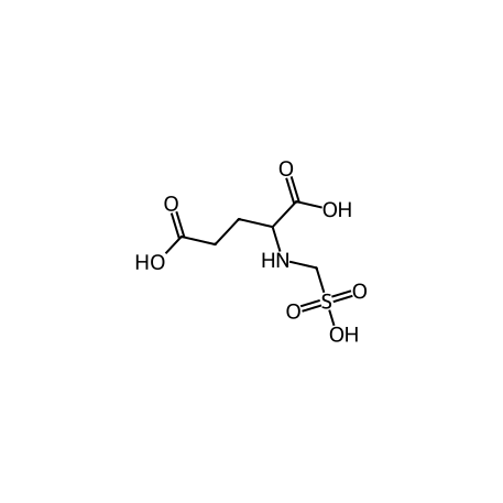 O=C(O)CCC(NCS(=O)(=O)O)C(=O)O